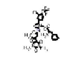 Cc1oc2c(c1CC(=O)/N=c1\scc(-c3ccc(OC(F)(F)F)c(Cl)c3)n1COC(=O)[C@@H](N)Cc1ccccc1)c(=O)n(C)c(=O)n2C